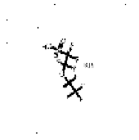 O=S(=O)(O)C(F)(F)C(F)(F)OC(F)(F)C(F)(F)I.[KH]